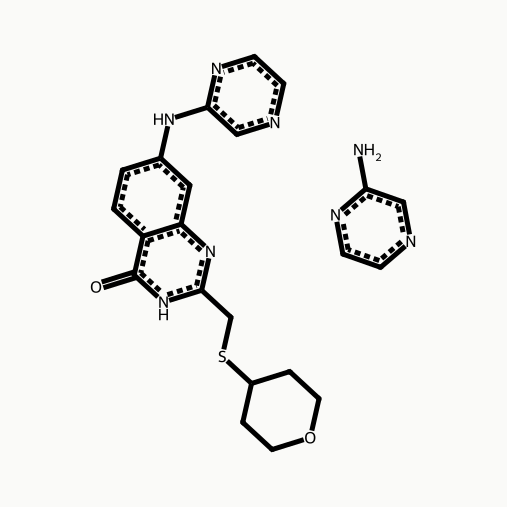 Nc1cnccn1.O=c1[nH]c(CSC2CCOCC2)nc2cc(Nc3cnccn3)ccc12